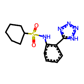 O=S(=O)(Nc1ccccc1-c1nnn[nH]1)C1CCCCC1